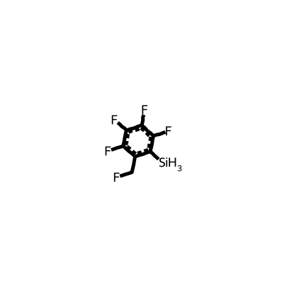 FCc1c(F)c(F)c(F)c(F)c1[SiH3]